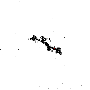 Cc1cc(N(CCCCCCNc2ccnc3cc(Cl)ccc23)CCN2CCN(c3nc(C)cc(NCCCCNc4ccnc5cc(Cl)ccc45)n3)CC2)nc(Cl)n1